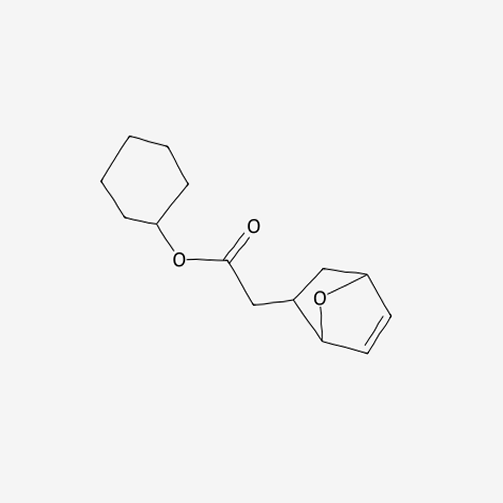 O=C(CC1CC2C=CC1O2)OC1CCCCC1